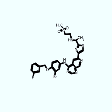 CC(NCCS(C)(=O)=O)c1nc(-c2cc3c(Nc4ccc(OCc5cccc(F)c5)c(Br)c4)ncnc3cn2)cs1